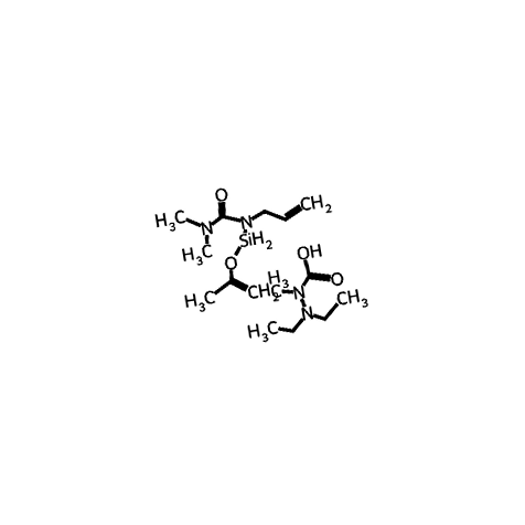 C=CCN([SiH2]OC(=C)C)C(=O)N(C)C.CCN(CC)N(C)C(=O)O